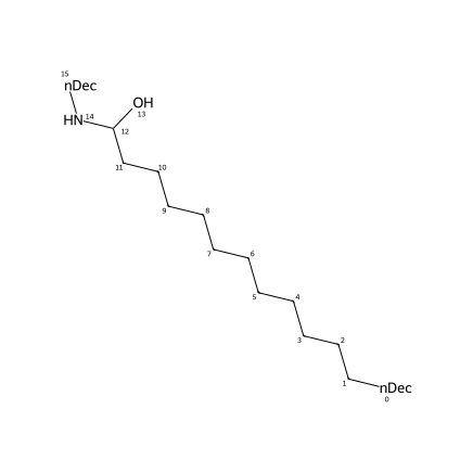 CCCCCCCCCCCCCCCCCCCCCC(O)NCCCCCCCCCC